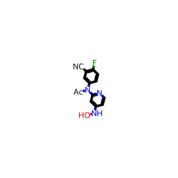 CC(=O)N(c1ccc(F)c(C#N)c1)c1cc(NO)ccn1